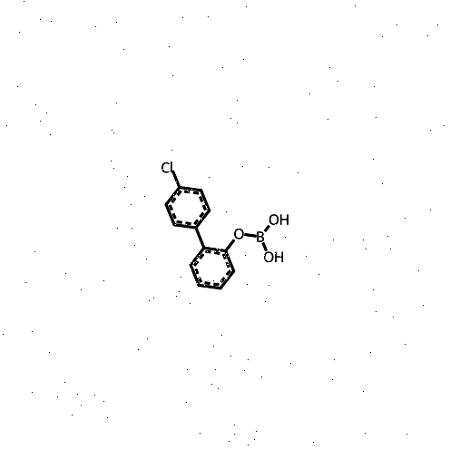 OB(O)Oc1ccccc1-c1ccc(Cl)cc1